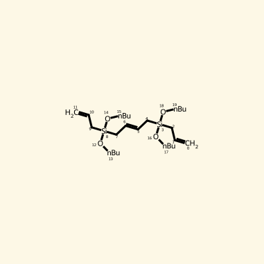 C=CC[Si](CC=CC[Si](CC=C)(OCCCC)OCCCC)(OCCCC)OCCCC